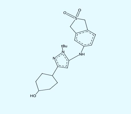 CC(C)(C)n1nc(C2CCC(O)CC2)cc1Nc1ccc2c(c1)CS(=O)(=O)C2